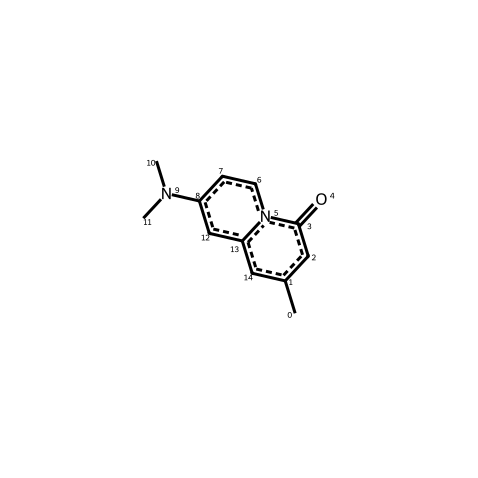 Cc1cc(=O)n2ccc(N(C)C)cc2c1